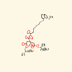 CCCCC(CC)COC(=O)CC(O)(CC(=O)OCC(CC)CCCC)C(=O)OC(=O)CCCCCCCC(=O)O